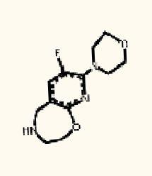 Fc1cc2c(nc1N1CCOCC1)OCCNC2